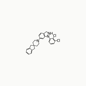 Clc1cccc(N2NCc3ccc(N4CCC5(CC4)Cc4ccccc4C5)cc32)c1Cl